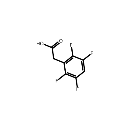 O=C(O)Cc1c(F)c(F)[c]c(F)c1F